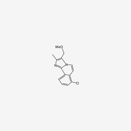 COCc1c(C)nc2c3cccc(Cl)c3ccn12